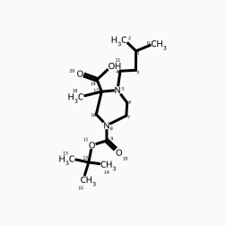 CC(C)CCN1CCN(C(=O)OC(C)(C)C)CC1(C)C(=O)O